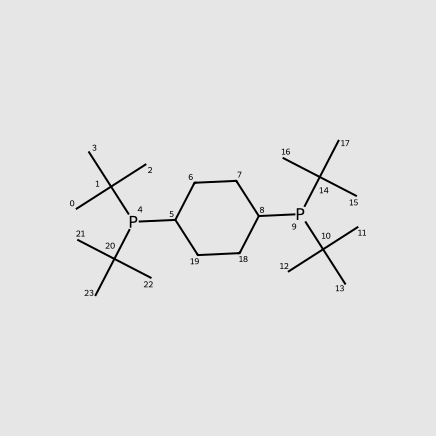 CC(C)(C)P(C1CCC(P(C(C)(C)C)C(C)(C)C)CC1)C(C)(C)C